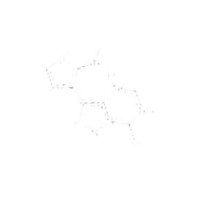 O=[N+]([O-])c1sccc1-c1cnn2c(O)ncnc12